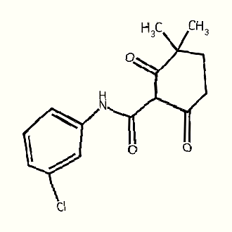 CC1(C)CCC(=O)C(C(=O)Nc2cccc(Cl)c2)C1=O